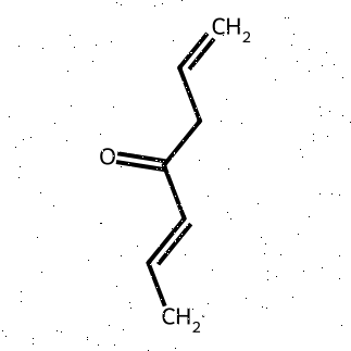 [CH2]/C=C/C(=O)CC=C